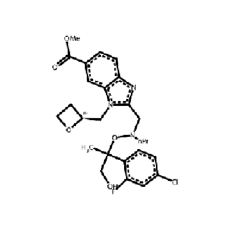 CCCN(Cc1nc2ccc(C(=O)OC)cc2n1C[C@@H]1CCO1)OC(C)(CO)c1ccc(Cl)cc1F